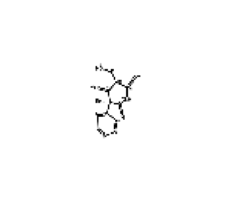 CC[C@@]1(c2ccccc2)C(=O)NC(=O)N(CO)C1=O